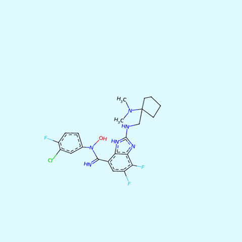 CN(C)C1(CNc2nc3c(F)c(F)cc(C(=N)N(O)c4ccc(F)c(Cl)c4)c3[nH]2)CCCC1